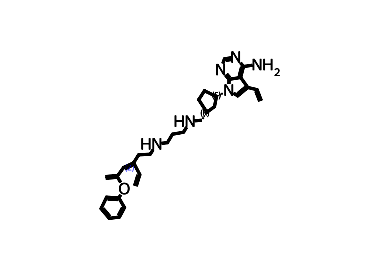 C=C/C(=C\C(=C)Oc1ccccc1)CCNCCCNC[C@@H]1CC[C@H](n2cc(C=C)c3c(N)ncnc32)C1